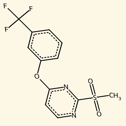 CS(=O)(=O)c1nccc(Oc2cccc(C(F)(F)F)c2)n1